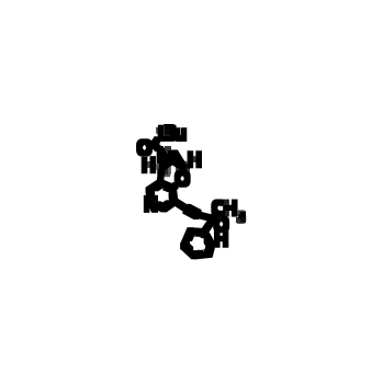 CC(C)(C)C(=O)N1C[C@@H]2C[C@H]1c1cncc(C#CC(C)(O)c3ccccc3)c1O2